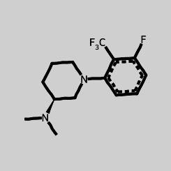 CN(C)[C@H]1CCCN(c2cccc(F)c2C(F)(F)F)C1